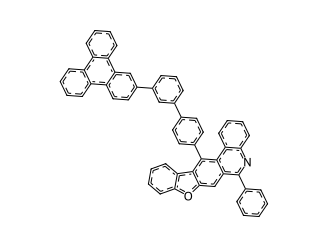 c1ccc(-c2nc3ccccc3c3c(-c4ccc(-c5cccc(-c6ccc7c8ccccc8c8ccccc8c7c6)c5)cc4)c4c(cc23)oc2ccccc24)cc1